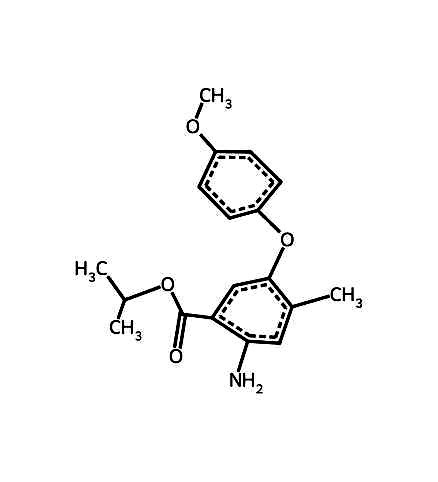 COc1ccc(Oc2cc(C(=O)OC(C)C)c(N)cc2C)cc1